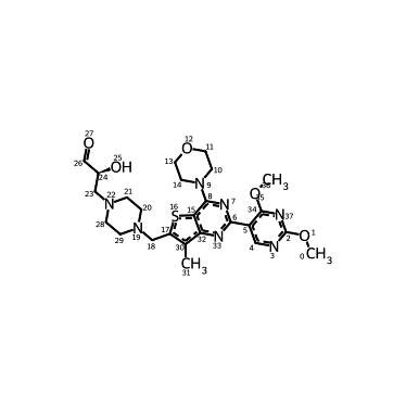 COc1ncc(-c2nc(N3CCOCC3)c3sc(CN4CCN(C[C@H](O)C=O)CC4)c(C)c3n2)c(OC)n1